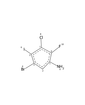 Nc1cc(Br)c(I)c(Cl)c1F